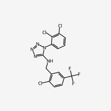 FC(F)(F)c1ccc(Cl)c(CNc2nnnn2-c2cccc(Cl)c2Cl)c1